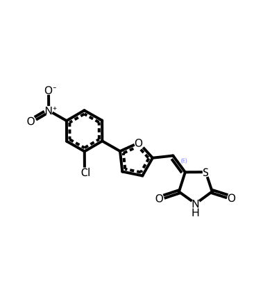 O=C1NC(=O)/C(=C\c2ccc(-c3ccc([N+](=O)[O-])cc3Cl)o2)S1